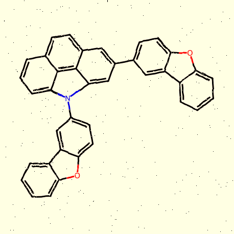 c1ccc2c(c1)oc1ccc(-c3cc4ccc5cccc6c5c4c(c3)n6-c3ccc4oc5ccccc5c4c3)cc12